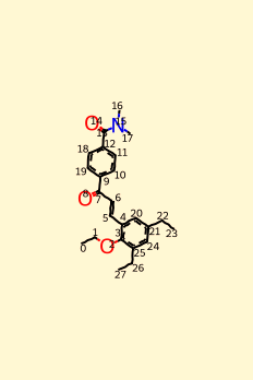 CCOc1c(C=CC(=O)c2ccc(C(=O)N(C)C)cc2)cc(CC)cc1CC